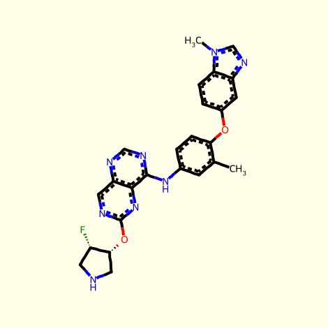 Cc1cc(Nc2ncnc3cnc(O[C@@H]4CNC[C@@H]4F)nc23)ccc1Oc1ccc2c(c1)ncn2C